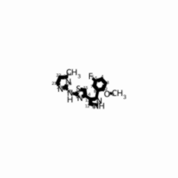 COc1ccc(F)cc1-c1n[nH]cc1-c1csc(Nc2nccc(C)n2)n1